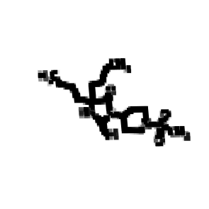 CCCCC1(CCCC)NC(=N)N(C2CCN(S(C)(=O)=O)CC2)C1=O